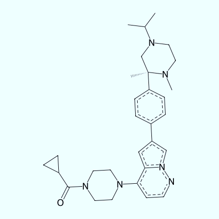 CC(C)N1CCN(C)[C@@](C)(c2ccc(-c3cc4c(N5CCN(C(=O)C6CC6)CC5)ccnn4c3)cc2)C1